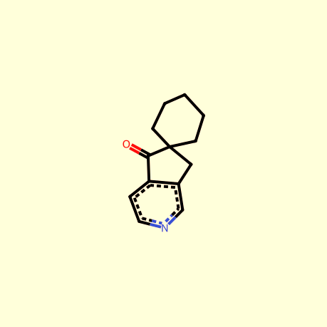 O=C1c2ccncc2CC12CCCCC2